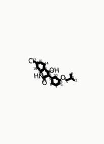 C=C(C)COc1cccc(-c2c(O)c3ccc(Cl)cc3[nH]c2=O)c1